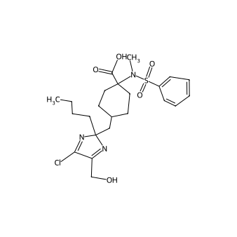 CCCCC1(CC2CCC(C(=O)O)(N(C)S(=O)(=O)c3ccccc3)CC2)N=C(Cl)C(CO)=N1